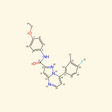 CCOc1ccc(NC(=O)c2cc3nccc(-c4ccc(F)c(C)c4)n3n2)cc1